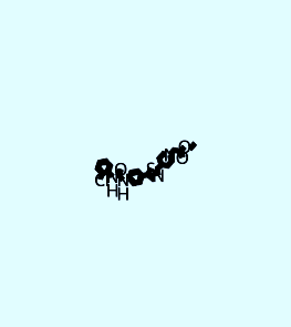 CCOC(=O)CN1CCC(c2ncc(-c3ccc(NC(=O)Nc4ccccc4Cl)cc3)s2)CC1